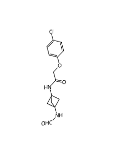 O=CNC12CC(NC(=O)COc3ccc(Cl)cc3)(C1)C2